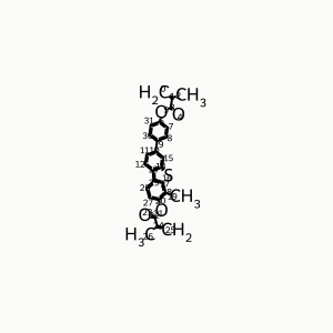 C=C(C)C(=O)Oc1ccc(-c2ccc3c(c2)sc2c(C)c(OC(=O)C(=C)C)ccc23)cc1